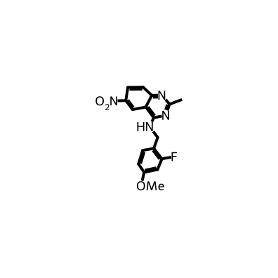 COc1ccc(CNc2nc(C)nc3ccc([N+](=O)[O-])cc23)c(F)c1